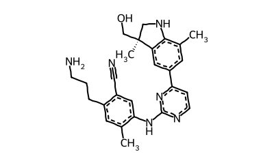 Cc1cc(CCCN)c(C#N)cc1Nc1nccc(-c2cc(C)c3c(c2)[C@@](C)(CO)CN3)n1